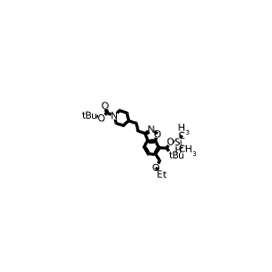 CCOCc1ccc2c(CCC3CCN(C(=O)OC(C)(C)C)CC3)noc2c1C(O[SiH](C)C)C(C)(C)C